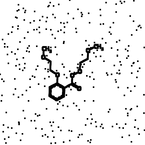 COCCOOC(=O)c1ccccc1OCCOC